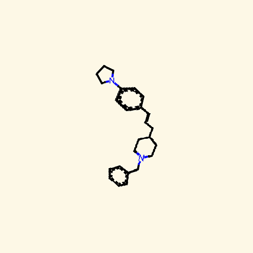 C(=Cc1ccc(N2CCCC2)cc1)CC1CCN(Cc2ccccc2)CC1